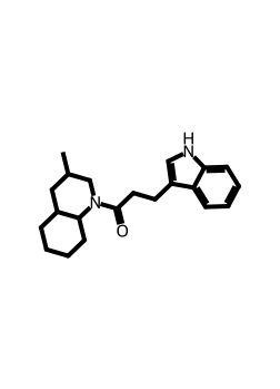 CC1CC2CCCCC2N(C(=O)CCc2c[nH]c3ccccc23)C1